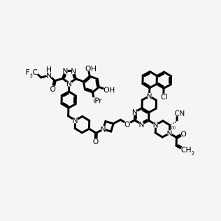 C=CC(=O)N1CCN(c2nc(OCC3CN(C(=O)C4CCN(Cc5ccc(-n6c(C(=O)NCC(F)(F)F)nnc6-c6cc(C(C)C)c(O)cc6O)cc5)CC4)C3)nc3c2CCN(c2cccc4cccc(Cl)c24)C3)C[C@@H]1CC#N